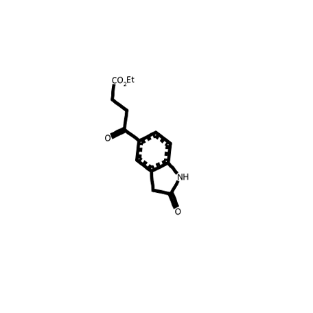 CCOC(=O)CCC(=O)c1ccc2c(c1)CC(=O)N2